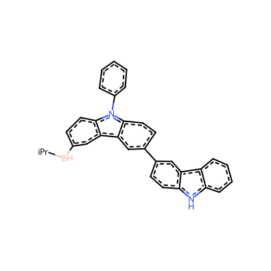 CC(C)Bc1ccc2c(c1)c1cc(-c3ccc4[nH]c5ccccc5c4c3)ccc1n2-c1ccccc1